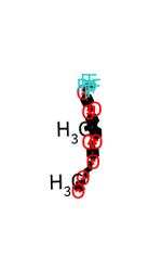 CC1c2cc(OC(=O)c3ccc(OCCCCOCC4(C)COC4)cc3)ccc2-c2ccc(OC(=O)c3ccc(OC(F)(F)C(F)C(F)(F)F)cc3)cc21